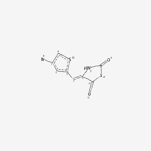 O=C1NC(=Cc2cc(Br)cs2)C(=O)S1